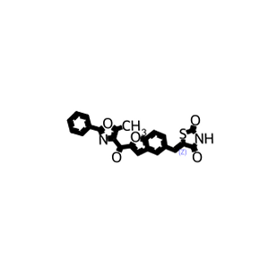 Cc1oc(-c2ccccc2)nc1C(=O)c1cc2cc(/C=C3\SC(=O)NC3=O)ccc2o1